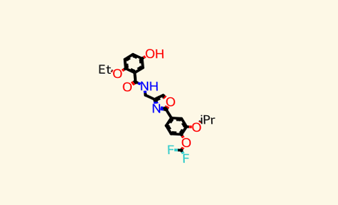 CCOc1ccc(O)cc1C(=O)NCc1coc(-c2ccc(OC(F)F)c(OC(C)C)c2)n1